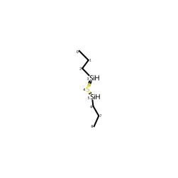 CCC[SiH]=S=[SiH]CCC